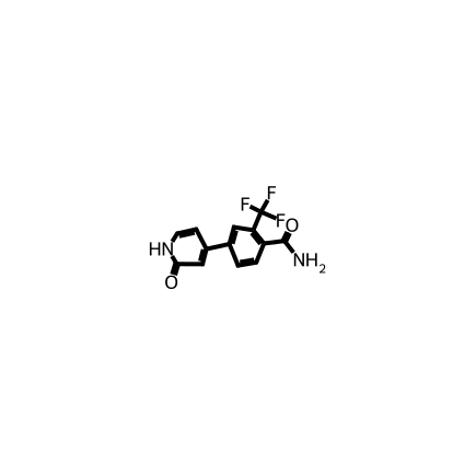 NC(=O)c1ccc(-c2cc[nH]c(=O)c2)cc1C(F)(F)F